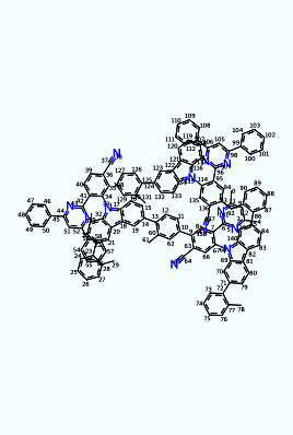 Cc1cc(C)nc(-c2cc(-c3ccc(-c4ccc5c(c4)c4cc(-c6ccccc6C)ccc4n5-c4cc(C#N)ccc4-c4nc(-c5ccccc5)cc(-c5ccccc5)n4)c(C)c3)c(C#N)cc2-n2c3cc(-c4ccccc4C)ccc3c3ccc(-c4ccccc4Cc4cc(-c5nc(-c6ccccc6)cc(-c6ccccc6)n5)c(-n5c6ccccc6c6cc(-c7ccccc7C)ccc65)cc4C#N)cc32)n1